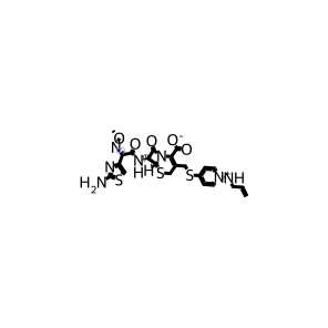 C=CCN[n+]1ccc(SCC2=C(C(=O)[O-])N3C(=O)[C@@H](NC(=O)/C(=N\OC)c4csc(N)n4)[C@H]3SC2)cc1